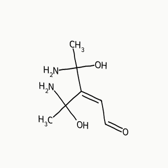 CC(N)(O)C(=CC=O)C(C)(N)O